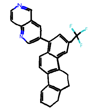 FC(F)(F)c1cc(-c2cnc3ccncc3c2)c2ccc3c(c2c1)CCC1=C3C=CCC1